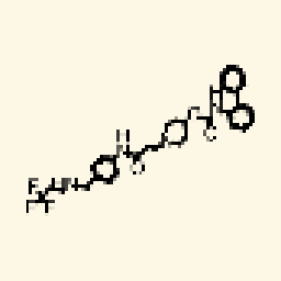 O=C(CCN1CCC(OC(=O)Nc2ccccc2-c2ccccc2)CC1)Nc1ccc(CNCCC(F)(F)F)cc1